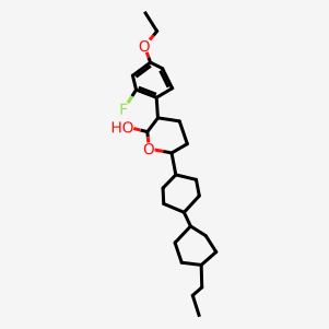 CCCC1CCC(C2CCC(C3CCC(c4ccc(OCC)cc4F)C(O)O3)CC2)CC1